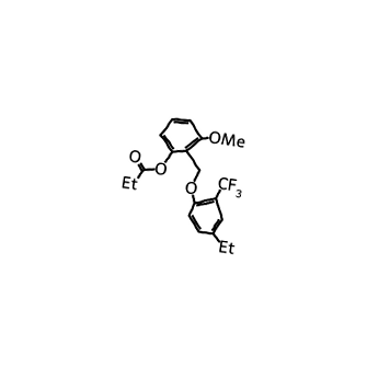 CCC(=O)Oc1cccc(OC)c1COc1ccc(CC)cc1C(F)(F)F